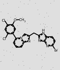 COc1cc(-c2cccc3nc(Cc4nc5nc(Br)ccc5[nH]4)cn23)c(Cl)cc1Cl